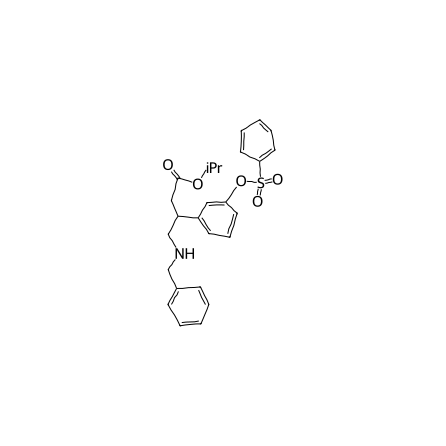 CC(C)OC(=O)CC(CNCc1ccccc1)c1cccc(OS(=O)(=O)c2ccccc2)c1